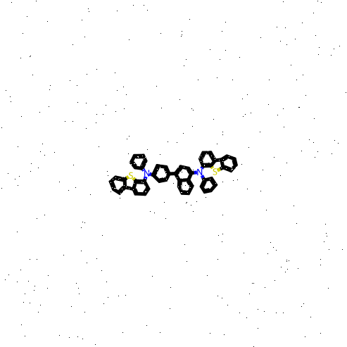 c1ccc(N(c2ccc(-c3ccc(N(c4ccccc4)c4cccc5c4sc4ccccc45)c4ccccc34)cc2)c2cccc3c2sc2ccccc23)cc1